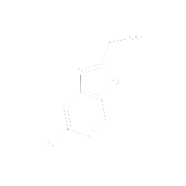 CNCc1nc2cc([N+](=O)[O-])ccc2[nH]1